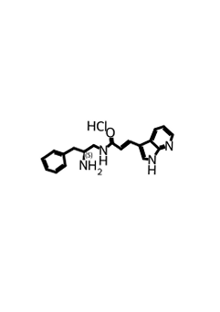 Cl.N[C@H](CNC(=O)C=Cc1c[nH]c2ncccc12)Cc1ccccc1